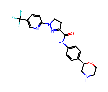 O=C(Nc1ccc([C@@H]2CNCCO2)cc1)C1=NN(c2ccc(C(F)(F)F)cn2)CC1